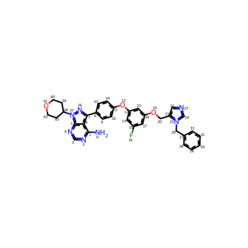 Nc1ncnc2c1c(-c1ccc(Oc3cc(F)cc(OCc4cncn4Cc4ccccc4)c3)cc1)nn2C1CCOCC1